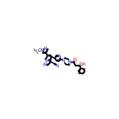 Cn1cc(-c2cc(-c3ccc(N4CCN(C(=O)C[C@H](O)c5ccccc5)CC4)nc3)c3c(C#N)cnn3c2)cn1